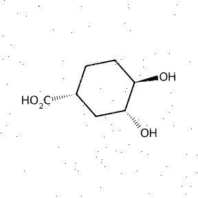 O=C(O)[C@@H]1CC[C@@H](O)[C@H](O)C1